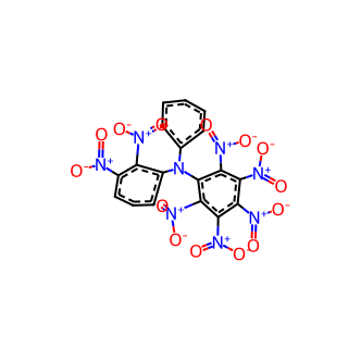 O=[N+]([O-])c1cccc(N(c2ccccc2)c2c([N+](=O)[O-])c([N+](=O)[O-])c([N+](=O)[O-])c([N+](=O)[O-])c2[N+](=O)[O-])c1[N+](=O)[O-]